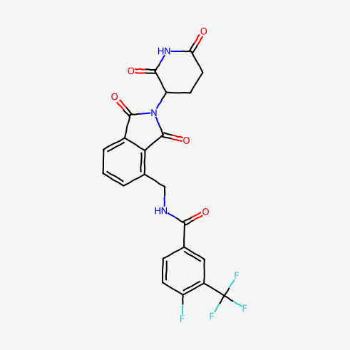 O=C1CCC(N2C(=O)c3cccc(CNC(=O)c4ccc(F)c(C(F)(F)F)c4)c3C2=O)C(=O)N1